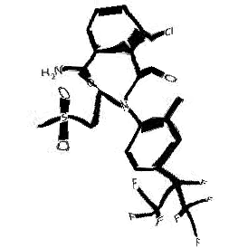 Cc1cc(C(F)(C(F)(F)F)C(F)(F)F)ccc1N(C(=O)c1c(Cl)cccc1C(N)=O)[C@H](C)CS(C)(=O)=O